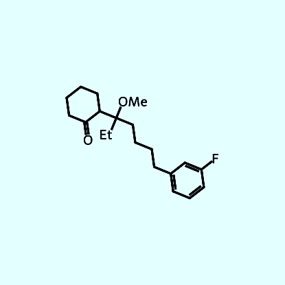 CCC(CCCCc1cccc(F)c1)(OC)C1CCCCC1=O